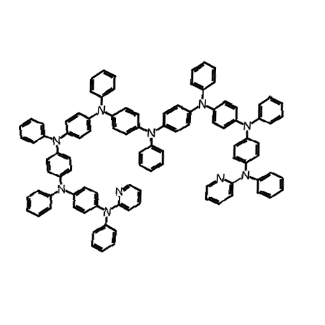 c1ccc(N(c2ccc(N(c3ccccc3)c3ccc(N(c4ccccc4)c4ccc(N(c5ccccc5)c5ccc(N(c6ccccc6)c6ccccn6)cc5)cc4)cc3)cc2)c2ccc(N(c3ccccc3)c3ccc(N(c4ccccc4)c4ccc(N(c5ccccc5)c5ccccn5)cc4)cc3)cc2)cc1